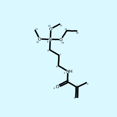 C=C(C)C(=O)NCCC[Si](OC)(OC)OCC